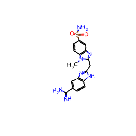 Cn1c(Cc2nc3cc(C(=N)N)ccc3[nH]2)nc2cc(S(N)(=O)=O)ccc21